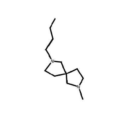 CCCCN1CCC2(CCN(C)C2)C1